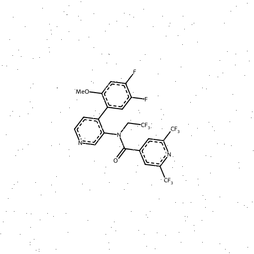 COc1cc(F)c(F)cc1-c1ccncc1N(CC(F)(F)F)C(=O)c1cc(C(F)(F)F)nc(C(F)(F)F)c1